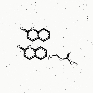 CCOC(C)=O.O=c1ccc2ccccc2o1.O=c1ccc2ccccc2o1